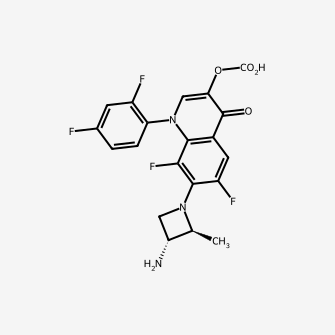 C[C@H]1[C@H](N)CN1c1c(F)cc2c(=O)c(OC(=O)O)cn(-c3ccc(F)cc3F)c2c1F